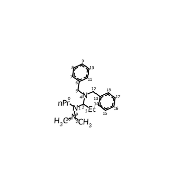 CCCN(C(CC)N(Cc1ccccc1)Cc1ccccc1)N(C)C